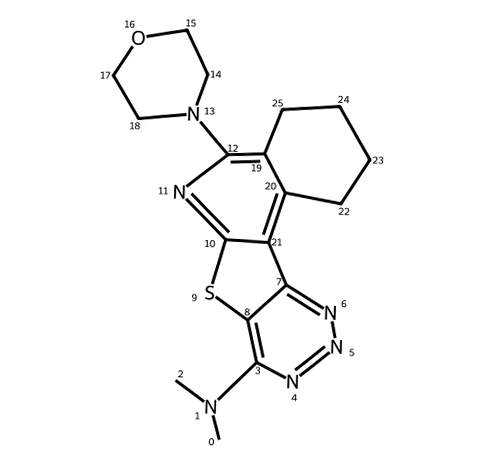 CN(C)c1nnnc2c1sc1nc(N3CCOCC3)c3c(c12)CCCC3